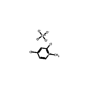 C[n+]1ccc(Cl)cc1Cl.[O-][Cl+3]([O-])([O-])[O-]